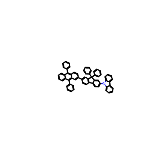 c1ccc(-c2c3ccccc3c(-c3ccccc3)c3cc(-c4ccc5c(c4)C(c4ccccc4)(c4ccccc4)c4cc(-n6c7ccccc7c7ccccc76)ccc4-5)ccc23)cc1